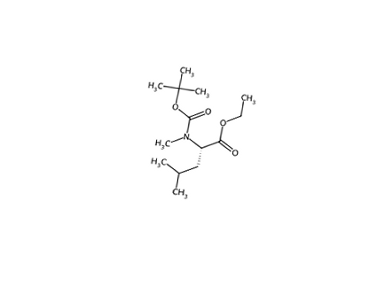 CCOC(=O)[C@H](CC(C)C)N(C)C(=O)OC(C)(C)C